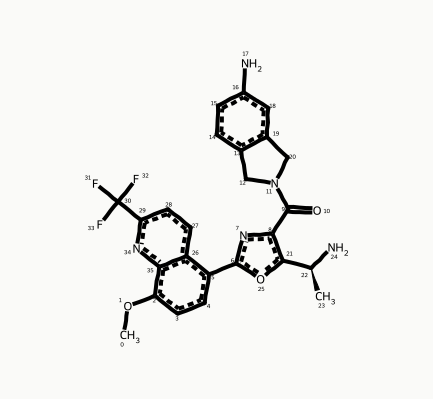 COc1ccc(-c2nc(C(=O)N3Cc4ccc(N)cc4C3)c([C@H](C)N)o2)c2ccc(C(F)(F)F)nc12